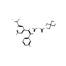 CCOC(C)c1cc(-c2sc(NC(=O)N3CC4(COC4)C3)nc2-c2cccc(C#N)c2)cc(CC)n1